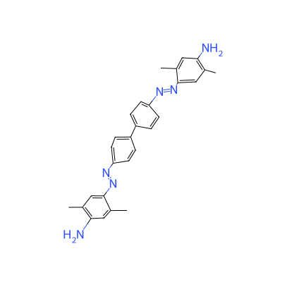 Cc1cc(N=Nc2ccc(-c3ccc(N=Nc4cc(C)c(N)cc4C)cc3)cc2)c(C)cc1N